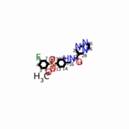 COc1ccc(F)cc1S(=O)(=O)c1ccc(CNC(=O)c2cnc3nccn3c2)cc1